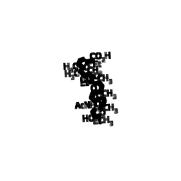 CCC(C(=O)[C@@H](C)[C@@H](O)[C@H](C)[C@@H]1O[C@@H]([C@@H](CC)C(=O)O)CC[C@@H]1C)[C@H]1O[C@]2(C=C[C@@H](NC(C)=O)[C@]3(CC[C@@](C)([C@H]4CC[C@](O)(CC)[C@H](C)O4)O3)O2)[C@H](C)C[C@@H]1C